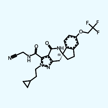 N#CCNC(=O)c1c2c(nn1CCC1CC1)C[C@]1(CCc3cc(OCC(F)(F)F)ccc31)NC2=O